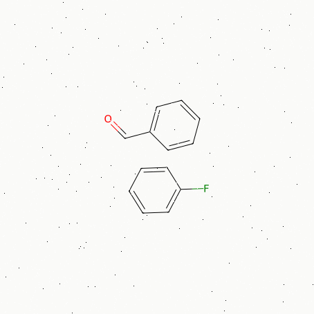 Fc1ccccc1.O=Cc1ccccc1